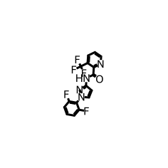 O=C(Nc1ccn(-c2c(F)cccc2F)n1)c1ncccc1C(F)(F)F